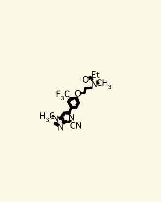 CCC(=O)N(C)CCCOc1ccc(-c2cc3c(ncn3C)c(C#N)n2)cc1C(F)(F)F